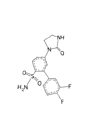 NS(=O)(=O)c1ccc(N2CCNC2=O)cc1-c1ccc(F)c(F)c1